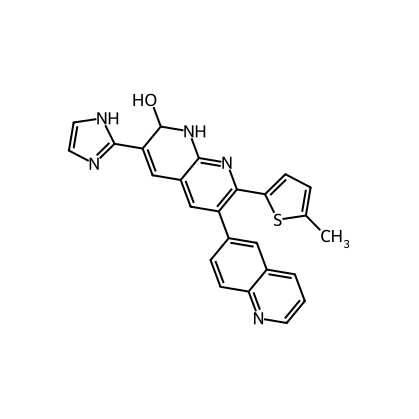 Cc1ccc(-c2nc3c(cc2-c2ccc4ncccc4c2)C=C(c2ncc[nH]2)C(O)N3)s1